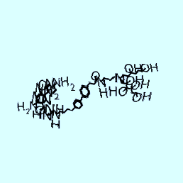 N=C(NCCCCc1ccc(-c2ccc(CCC(=O)NCCCN(CCC(O)CCCO)CC(O)C(O)C(O)CCO)cc2)cc1)NC(=O)c1nc(-n2ccc(N)nc2=O)c(N)nc1N